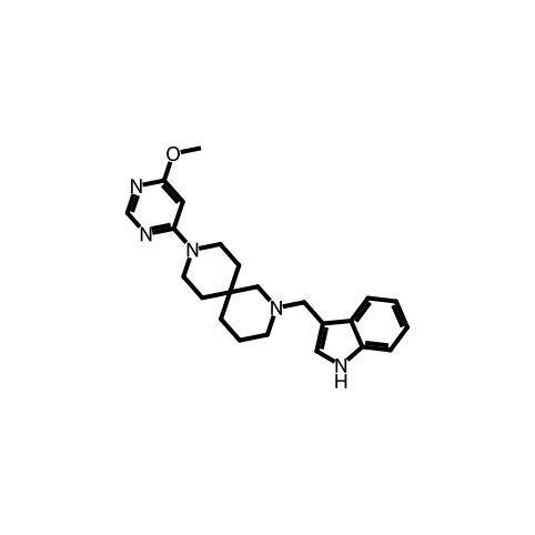 COc1cc(N2CCC3(CCCN(Cc4c[nH]c5ccccc45)C3)CC2)ncn1